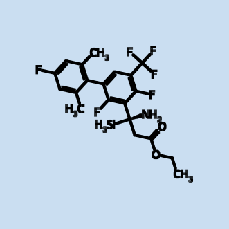 CCOC(=O)C[C@](N)([SiH3])c1c(F)c(-c2c(C)cc(F)cc2C)cc(C(F)(F)F)c1F